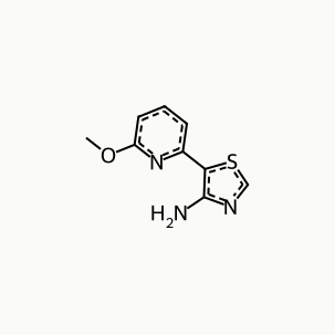 COc1cccc(-c2scnc2N)n1